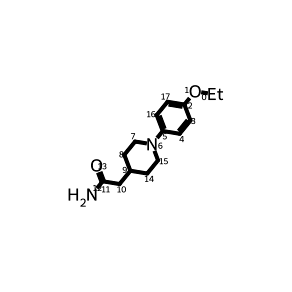 CCOc1ccc(N2CCC(CC(N)=O)CC2)cc1